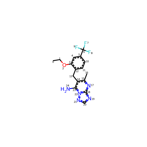 CCOc1cc(C(F)(F)F)ccc1Cc1c(C)nc2ncnn2c1N